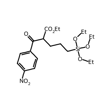 CCOC(=O)C(CCC[Si](OCC)(OCC)OCC)C(=O)c1ccc([N+](=O)[O-])cc1